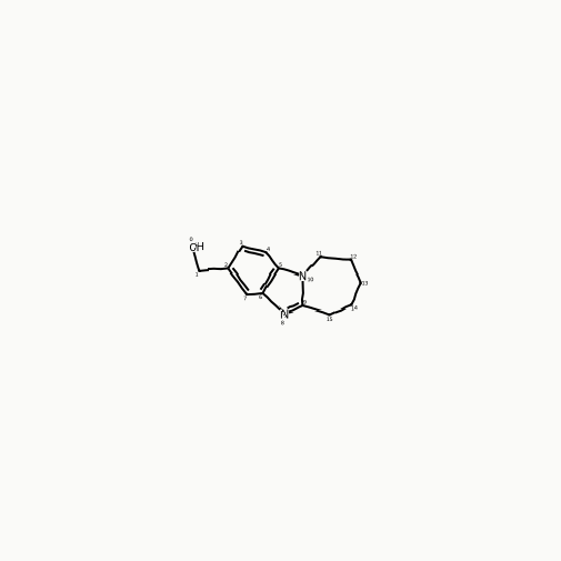 OCc1ccc2c(c1)nc1n2CCCCC1